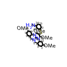 COc1ccc(CN(Cc2ccc(OC)cc2)c2nc(OC)c(Sc3cccc(N)c3)c(OC)n2)cc1